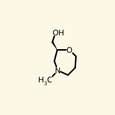 CN1CCCO[C@H](CO)C1